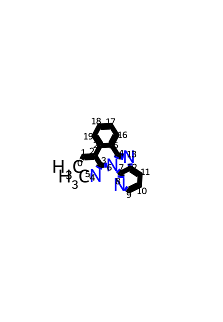 C/C=c1\c(=N/C)n2c3ncccc3nc2c2ccccc12